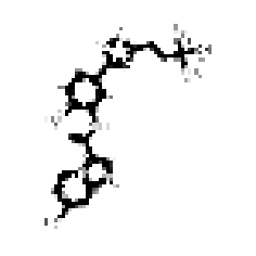 Cc1ccn2c(C(=O)Nc3cc(-c4noc(CCC(C)(O)C(F)(F)F)n4)ccc3C)cnc2c1